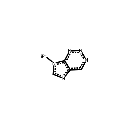 CC(C)n1cnc2cnnnc21